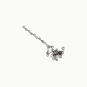 CC[C@H](C)[C@H](NC(=O)C(C)(C)N(C)C)C(=O)N(C)[C@H](C[C@@H](OC(C)=O)c1nc(C(=O)N[C@@H](Cc2ccccc2)C[C@H](C)C(=O)NNC(=O)[C@H](C)NC(=O)[C@H](C)NC(=O)[C@H](CCCCNC(=O)COCCOCCOCCOCCOCCOCCOCCOCCOCCOC)NC(=O)CCCN2C(=O)C=CC2=O)cs1)C(C)C